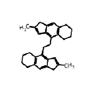 CC1=Cc2c(cc3c(c2CCc2c4c(cc5c2CCCC5)CC(C)=C4)CCCC3)C1